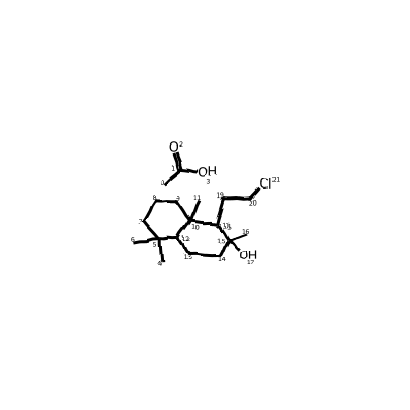 CC(=O)O.CC1(C)CCCC2(C)C1CCC(C)(O)C2CCCl